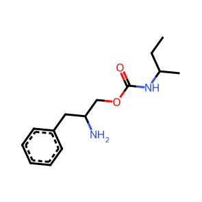 CCC(C)NC(=O)OCC(N)Cc1ccccc1